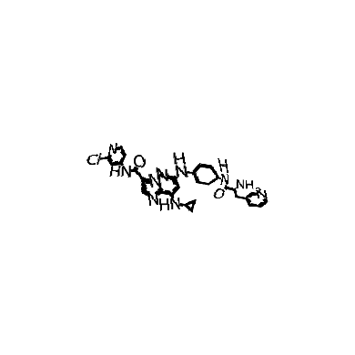 N[C@H](Cc1cccnc1)C(=O)N[C@H]1CC[C@H](Nc2cc(NC3CC3)c3ncc(C(=O)Nc4ccnc(Cl)c4)n3n2)CC1